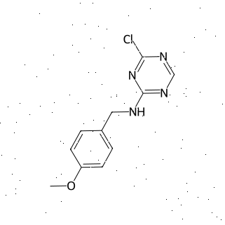 COc1ccc(CNc2ncnc(Cl)n2)cc1